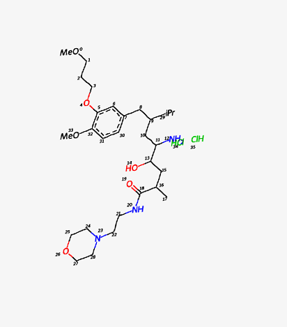 COCCCOc1cc(CC(CC(N)C(O)CC(C)C(=O)NCCN2CCOCC2)C(C)C)ccc1OC.Cl.Cl